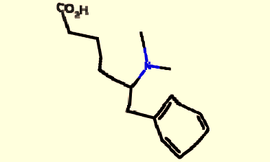 CN(C)C(CCCC(=O)O)Cc1ccccc1